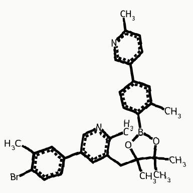 Cc1ccc(-c2ccc(B3OC(C)(C)C(C)(Cc4cc(-c5ccc(Br)c(C)c5)cnc4C)O3)c(C)c2)cn1